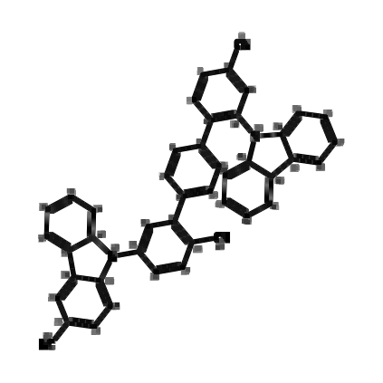 N#Cc1ccc(-c2ccc(-c3cc(-n4c5ccccc5c5cc(C#N)ccc54)ccc3C#N)cc2)c(-n2c3ccccc3c3ccccc32)c1